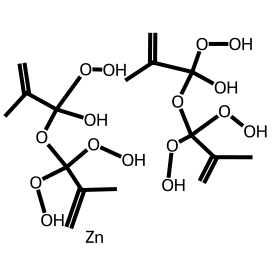 C=C(C)C(O)(OO)OC(OO)(OO)C(=C)C.C=C(C)C(O)(OO)OC(OO)(OO)C(=C)C.[Zn]